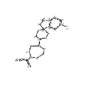 COC(=O)N1CCCC(N2CCC3(CC2)CNc2ccc(F)cc23)CC1